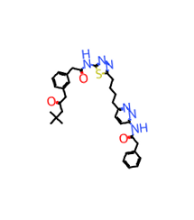 CC(C)(C)CC(=O)Cc1cccc(CC(=O)Nc2nnc(CCCCc3ccc(NC(=O)Cc4ccccc4)nn3)s2)c1